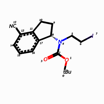 CC(C)(C)OC(=O)N(CCI)[C@H]1CCc2c(C#N)cccc21